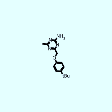 Cc1nc(N)nc(COc2ccc(C(C)(C)C)cc2)n1